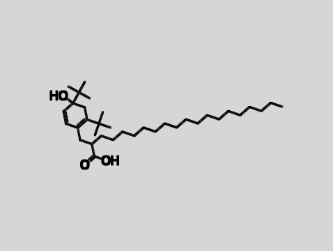 CCCCCCCCCCCCCCCCCCC(CC1=C(C(C)(C)C)CC(O)(C(C)(C)C)C=C1)C(=O)O